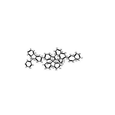 c1ccc(-n2c3ccccc3c3cc(-c4ccc5c(c4)C4(c6ccccc6-c6ccccc64)c4c-5c5cccc6cc(-c7ccc8ccccc8c7)c7cccc4c7c65)ccc32)cc1